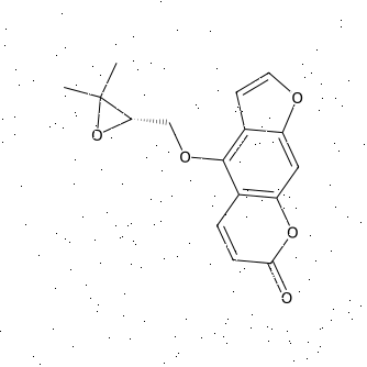 CC1(C)O[C@H]1COc1c2ccoc2cc2oc(=O)ccc12